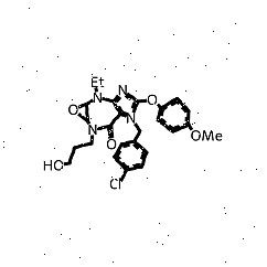 CCN1c2nc(Oc3ccc(OC)cc3)n(Cc3ccc(Cl)cc3)c2C(=O)N(CCCO)C2OC21